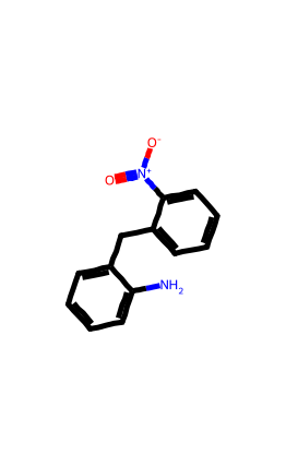 Nc1ccccc1Cc1ccccc1[N+](=O)[O-]